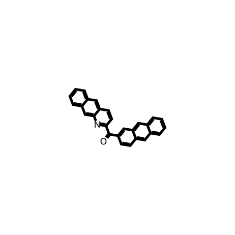 O=C(c1ccc2cc3ccccc3cc2c1)c1ccc2cc3ccccc3cc2n1